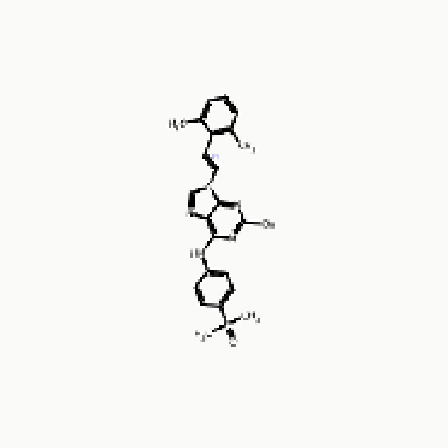 CCC(C)c1nc(Nc2ccc(P(C)(C)=O)cc2)c2ncn(/C=C/c3c(C)cccc3C)c2n1